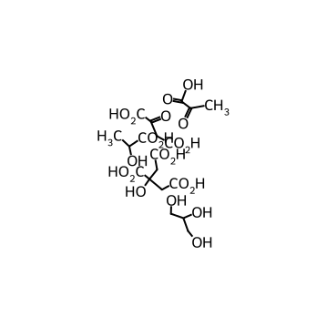 CC(=O)C(=O)O.CC(O)C(=O)O.O=C(O)CC(=O)C(=O)O.O=C(O)CC(O)(CC(=O)O)C(=O)O.OCC(O)CO